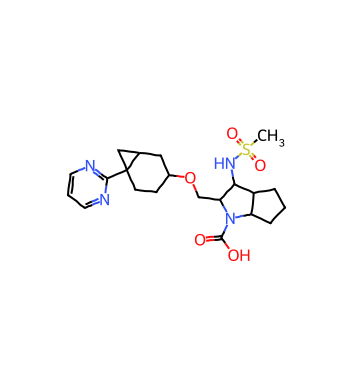 CS(=O)(=O)NC1C2CCCC2N(C(=O)O)C1COC1CCC2(c3ncccn3)CC2C1